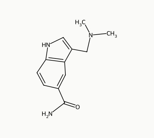 CN(C)Cc1c[nH]c2ccc(C(N)=O)cc12